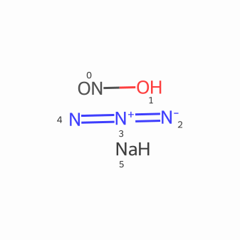 O=NO.[N-]=[N+]=[N-].[NaH]